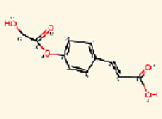 O=C(O)C=Cc1ccc(OC(=O)CO)cc1